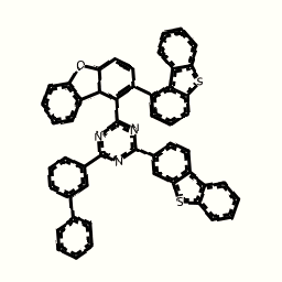 C1=CC2Oc3ccccc3C2C(c2nc(-c3cccc(-c4ccccc4)c3)nc(-c3ccc4c(c3)sc3ccccc34)n2)=C1c1cccc2sc3ccccc3c12